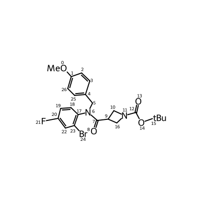 COc1ccc(CN(C(=O)C2CN(C(=O)OC(C)(C)C)C2)c2ccc(F)cc2Br)cc1